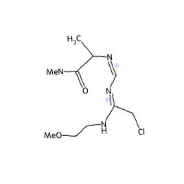 CNC(=O)C(C)/N=C\N=C(/CCl)NCCOC